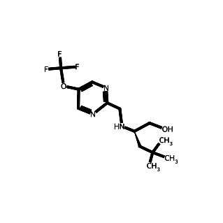 CC(C)(C)C[C@H](CO)NCc1ncc(OC(F)(F)F)cn1